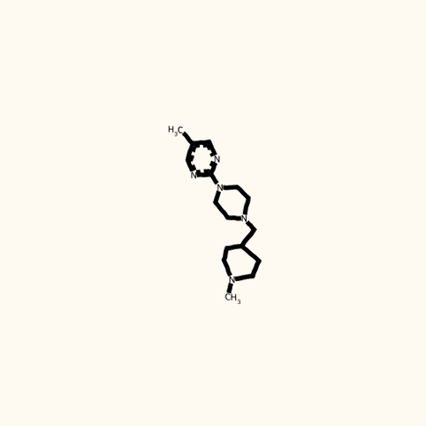 Cc1cnc(N2CCN(CC3CCN(C)CC3)CC2)nc1